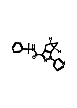 CC(C)(NC(=O)c1nn(-c2cccnc2)c2c1C[C@H]1C[C@@H]21)c1ccccc1